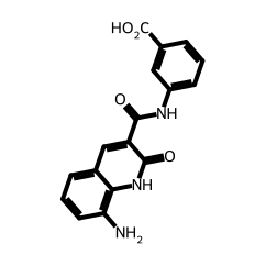 Nc1cccc2cc(C(=O)Nc3cccc(C(=O)O)c3)c(=O)[nH]c12